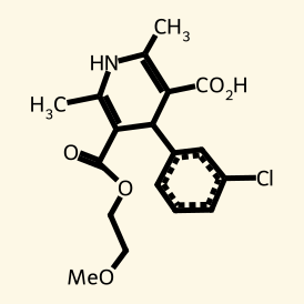 COCCOC(=O)C1=C(C)NC(C)=C(C(=O)O)C1c1cccc(Cl)c1